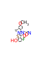 COc1ccc(-c2nc3sc4c(O)ccc(F)c4c3c(=O)n2Cc2cnco2)c(C2CC2)c1